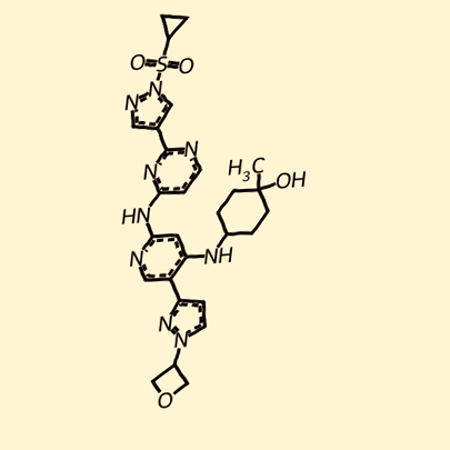 CC1(O)CCC(Nc2cc(Nc3ccnc(-c4cnn(S(=O)(=O)C5CC5)c4)n3)ncc2-c2ccn(C3COC3)n2)CC1